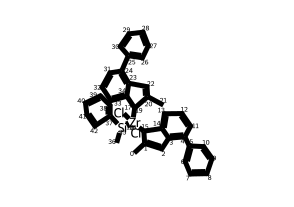 CC1=Cc2c(-c3ccccc3)cccc2[CH]1[Zr]([Cl])([Cl])([CH]1C(C)=Cc2c(-c3ccccc3)cccc21)=[Si](C)c1ccccc1